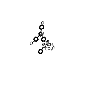 CCc1ccc(-c2cc(-c3ccc(Cl)cc3)nn2-c2ccc(S(=O)(=O)N(C)[C@@H](Cc3ccccc3)C(=O)O)cc2)cc1